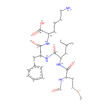 CSCCC(NC=O)C(=O)NC(CC(C)C)C(=O)NC(Cc1ccccc1)C(=O)NC(CCCCN)C(=O)O